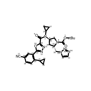 CC(C)(C)OC(=O)N1C[C@H](N(C(=O)c2nnc(-c3cc(C#N)ccc3C3CC3)o2)C2CC2)C[C@H]1Cn1ccnn1